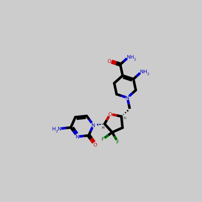 NC(=O)C1=C(N)CN(C[C@@H]2CC(F)(F)[C@H](n3ccc(N)nc3=O)O2)CC1